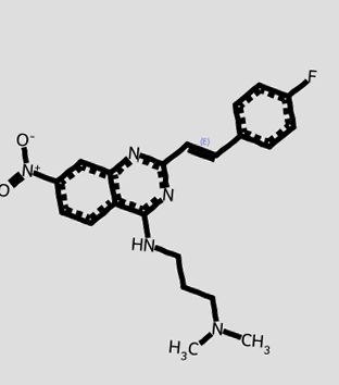 CN(C)CCCNc1nc(/C=C/c2ccc(F)cc2)nc2cc([N+](=O)[O-])ccc12